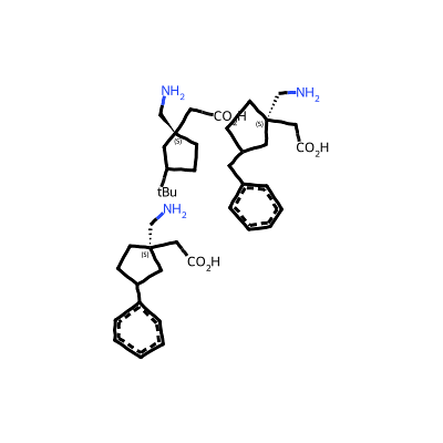 CC(C)(C)C1CC[C@@](CN)(CC(=O)O)C1.NC[C@@]1(CC(=O)O)CCC(Cc2ccccc2)C1.NC[C@@]1(CC(=O)O)CCC(c2ccccc2)C1